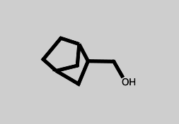 OCC1C[C]2CCC1C2